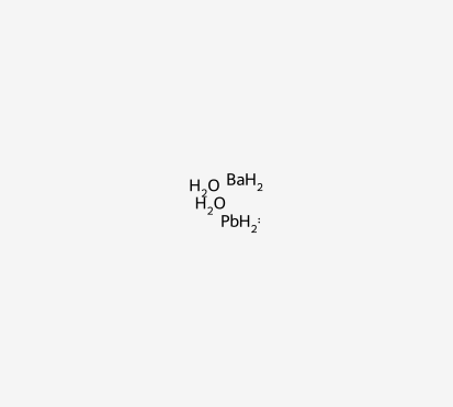 O.O.[BaH2].[PbH2]